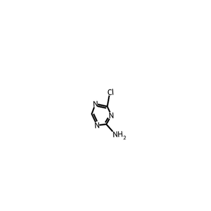 Nc1ncnc(Cl)n1